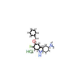 CN(C)C1CCc2[nH]c3cc(F)c(OCc4ccccc4)cc3c2C1.Cl